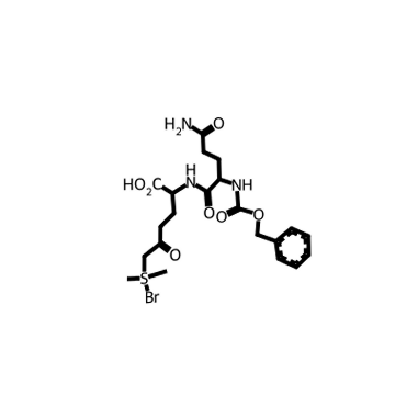 CS(C)(Br)CC(=O)CCC(NC(=O)C(CCC(N)=O)NC(=O)OCc1ccccc1)C(=O)O